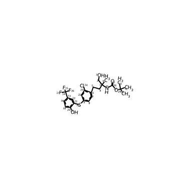 CC(CO)(CCc1ccc(Sc2cc(C(F)(F)F)ccc2O)cc1Cl)NC(=O)OC(C)(C)C